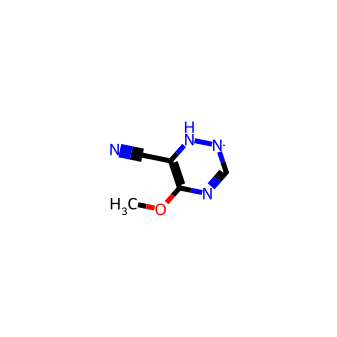 COC1=C(C#N)N[N]C=N1